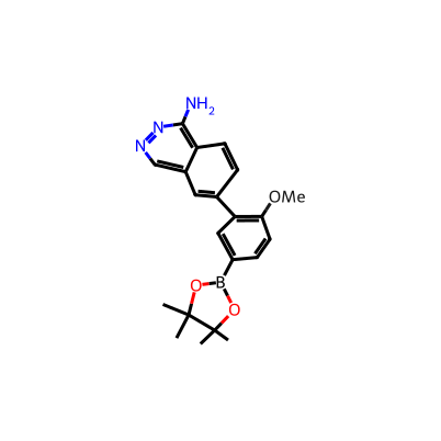 COc1ccc(B2OC(C)(C)C(C)(C)O2)cc1-c1ccc2c(N)nncc2c1